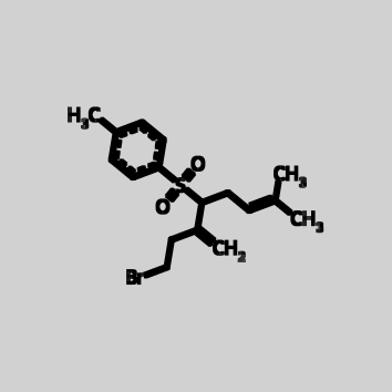 C=C(CCBr)C(CC=C(C)C)S(=O)(=O)c1ccc(C)cc1